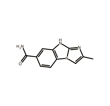 Cc1cn2c(n1)[nH]c1cc(C(N)=O)ccc12